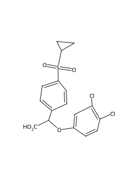 O=C(O)C(Oc1ccc(Cl)c(Cl)c1)c1ccc(S(=O)(=O)C2CC2)cc1